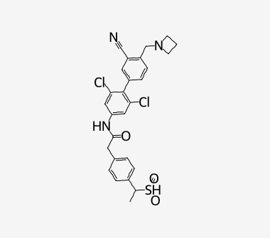 CC(c1ccc(CC(=O)Nc2cc(Cl)c(-c3ccc(CN4CCC4)c(C#N)c3)c(Cl)c2)cc1)[SH](=O)=O